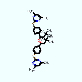 Cc1cc(C)nc(Sc2ccc(C(CC(C)(C)C)OC(CC(C)(C)C)c3ccc(Sc4nc(C)cc(C)n4)cc3)cc2)n1